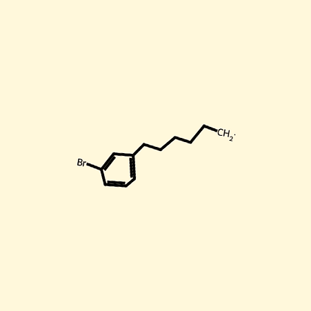 [CH2]CCCCCc1cccc(Br)c1